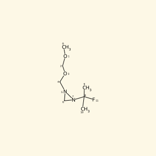 COCOCN1CN1C(C)(C)F